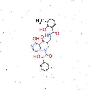 Cc1cccc(C(=O)NCC(CNC(=O)C(O)c2ccccc2)C(=O)c2cccnc2O)c1O